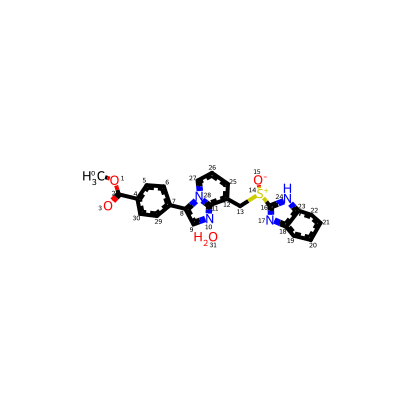 COC(=O)c1ccc(-c2cnc3c(C[S+]([O-])c4nc5ccccc5[nH]4)cccn23)cc1.O